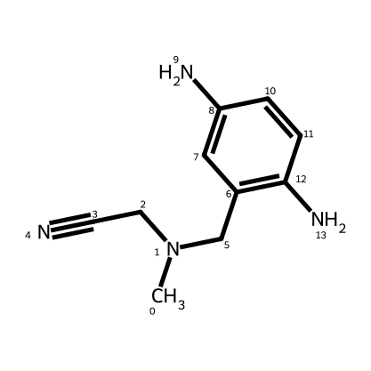 CN(CC#N)Cc1cc(N)ccc1N